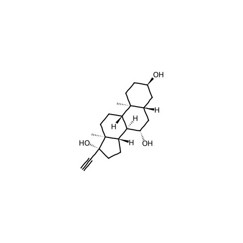 C#C[C@]1(O)CC[C@H]2[C@@H]3[C@@H](O)C[C@H]4C[C@H](O)CC[C@]4(C)[C@H]3CC[C@@]21C